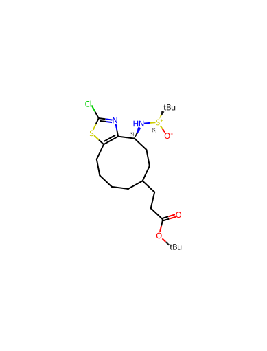 CC(C)(C)OC(=O)CCC1CCCCc2sc(Cl)nc2[C@@H](N[S@+]([O-])C(C)(C)C)CC1